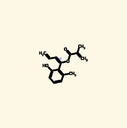 C=C/C=C(/OC(=O)C(=C)C)c1c(C)cccc1O